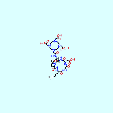 CCCC[C@@H]1NC(=O)C2CC[C@H]3C[C@@H](CNC(=O)CN4CCN(CC(=O)O)CCN(CC(=O)O)CCN(CC(=O)O)CC4)[C@@H](NC(=O)[C@H](CC(=O)O)NC(=O)CNC1=O)C(=O)N23